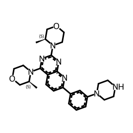 C[C@H]1COCCN1c1nc(N2CCOC[C@@H]2C)c2ccc(-c3cccc(N4CCNCC4)c3)nc2n1